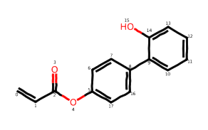 C=CC(=O)Oc1ccc(-c2ccccc2O)cc1